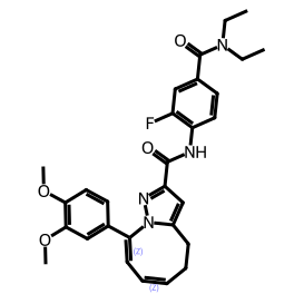 CCN(CC)C(=O)c1ccc(NC(=O)c2cc3n(n2)/C(c2ccc(OC)c(OC)c2)=C\C=C/CC3)c(F)c1